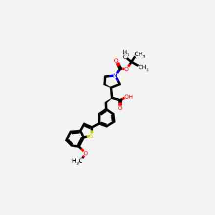 COc1cccc2cc(-c3cccc(C[C@H](C(=O)O)[C@H]4CCN(C(=O)OC(C)(C)C)C4)c3)sc12